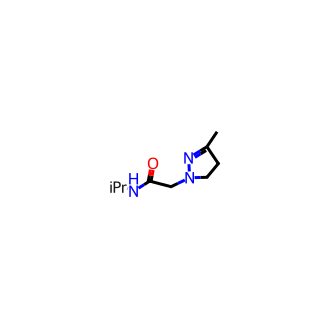 CC1=NN(CC(=O)NC(C)C)CC1